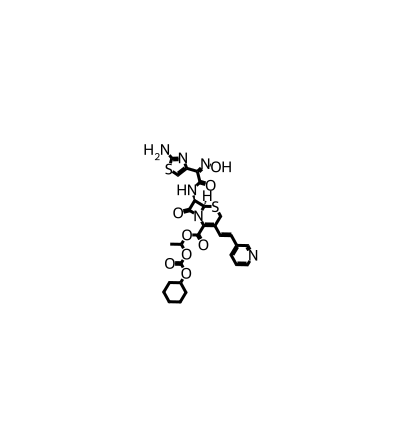 CC(OC(=O)OC1CCCCC1)OC(=O)C1=C(/C=C/c2cccnc2)CS[C@@H]2[C@H](NC(=O)/C(=N\O)c3csc(N)n3)C(=O)N12